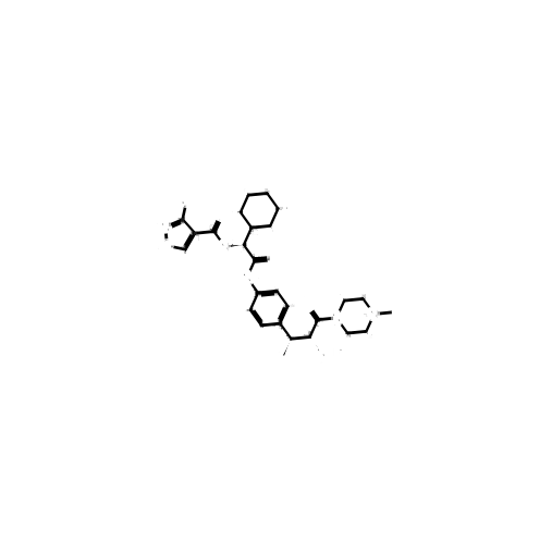 CCc1nocc1C(=O)N[C@H](C(=O)Nc1ccc([C@H](C)[C@@H](NC(C)=O)C(=O)N2CCN(C)CC2)cc1)C1CCCCC1